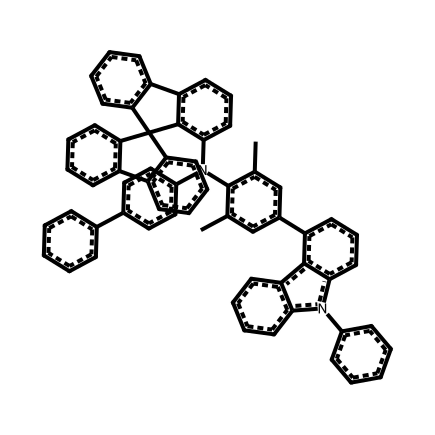 Cc1cc(-c2cccc3c2c2ccccc2n3-c2ccccc2)cc(C)c1N(c1ccc(-c2ccccc2)cc1)c1cccc2c1C1(c3ccccc3-c3ccccc31)c1ccccc1-2